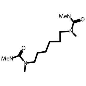 CNC(=O)N(C)CCCCCCN(C)C(=O)NC